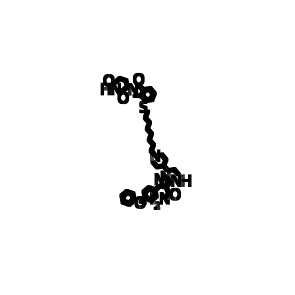 NC(=O)c1c(-c2ccc(Oc3ccccc3)cc2)nn2c1NCCC2C1CCN(CCCCCCCCSc2cccc3c2CN(C2CCC(=O)NC2=O)C3=O)CC1